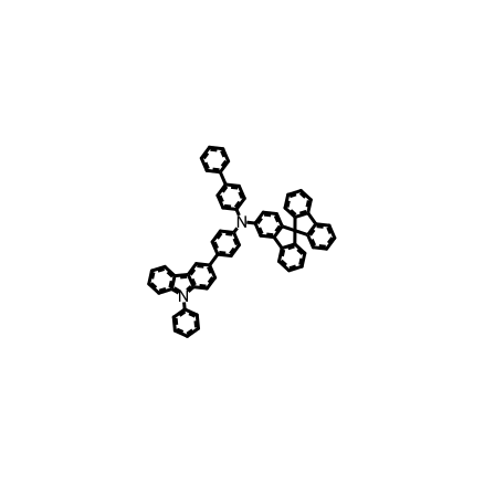 c1ccc(-c2ccc(N(c3ccc(-c4ccc5c(c4)c4ccccc4n5-c4ccccc4)cc3)c3ccc4c(c3)-c3ccccc3C43c4ccccc4-c4ccccc43)cc2)cc1